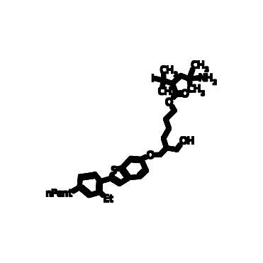 CCCCCc1ccc(-c2cc3ccc(OCC(CO)CCCCOC(=O)C(CC(C)(C)N)C(C)(C)I)cc3s2)c(CC)c1